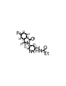 CCC(=O)NCc1cncc(N2C(=O)c3ccc(F)cc3C2(C)C)c1